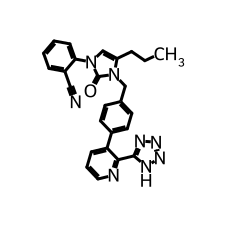 CCCc1cn(-c2ccccc2C#N)c(=O)n1Cc1ccc(-c2cccnc2-c2nnn[nH]2)cc1